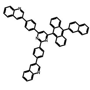 c1ccc2cc(-c3c4ccccc4c(-c4cc(-c5ccc(-c6cnc7ccccc7c6)cc5)nc(-c5ccc(-c6cnc7ccccc7c6)cc5)n4)c4ccccc34)ccc2c1